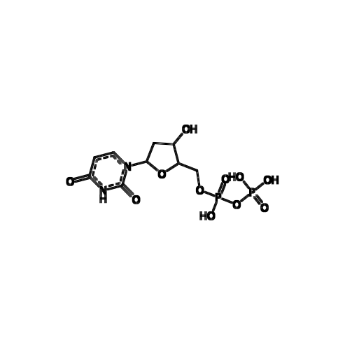 O=c1ccn(C2CC(O)C(COP(=O)(O)OP(=O)(O)O)O2)c(=O)[nH]1